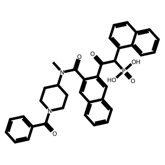 CN(C(=O)c1cc2ccccc2cc1C(=O)C(c1cccc2ccccc12)P(=O)(O)O)C1CCN(C(=O)c2ccccc2)CC1